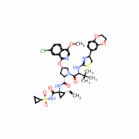 C=C[C@@H]1C[C@]1(NC(=O)[C@@H]1C[C@@H](Oc2ncc(OC)c3ccc(Cl)cc23)CN1C(=O)[C@@H](NC1=NC(c2ccc3c(c2)OCCO3)CS1)C(C)(C)C)C(=O)NS(=O)(=O)C1CC1